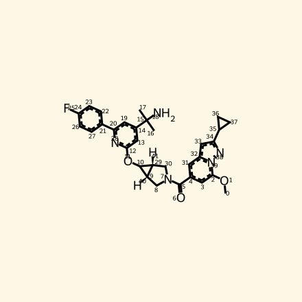 COc1cc(C(=O)N2C[C@@H]3C(Oc4cc(C(C)(C)N)cc(-c5ccc(F)cc5)n4)[C@@H]3C2)cc2cc(C3CC3)nn12